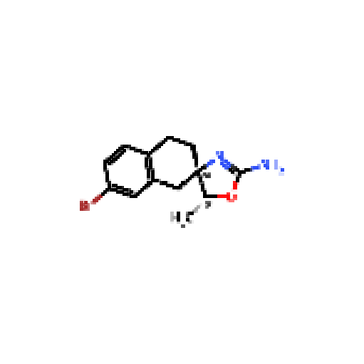 C[C@H]1OC(N)=N[C@]12CCc1ccc(Br)cc1C2